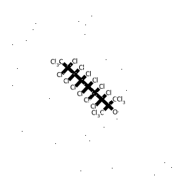 [O]C(C(Cl)(Cl)Cl)(C(Cl)(Cl)Cl)C(Cl)(Cl)C(Cl)(Cl)C(Cl)(Cl)C(Cl)(Cl)C(Cl)(Cl)C(Cl)(Cl)C(Cl)(Cl)Cl